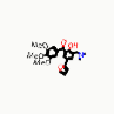 COc1cc(C(=O)c2cc(-c3ccco3)cc(CN(C)C)c2O)cc(OC)c1OC